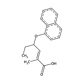 CCC(C=C(C)C(=O)O)Oc1cccc2ccccc12